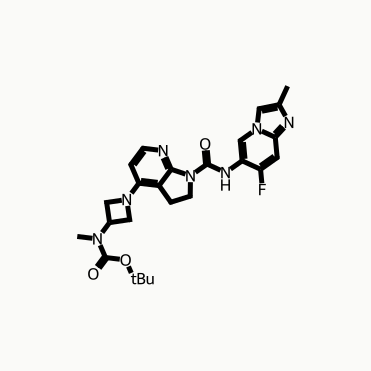 Cc1cn2cc(NC(=O)N3CCc4c(N5CC(N(C)C(=O)OC(C)(C)C)C5)ccnc43)c(F)cc2n1